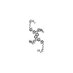 CCCCCCc1ccc(-c2cc3c(s2)-c2c(ccc4c5c(ccc24)C(CC)(CC)c2cc(-c4ccc(CCCCCC)s4)sc2-5)C3(CC)CC)s1